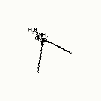 CCCCCC=CCC=CCCCCCCCCO[C@@H]1CN(C(=O)[C@@H](N)CCCN)C[C@H]1OCCCCCCCCC=CCC=CCCCCC